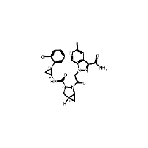 Cc1cc2c(C(N)=O)nn(CC(=O)N3C4C[C@@H]4C[C@H]3C(=O)N[C@@H]3C[C@H]3c3ccccc3Cl)c2cn1